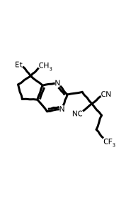 CCC1(C)CCc2cnc(CC(C#N)(C#N)CCC(F)(F)F)nc21